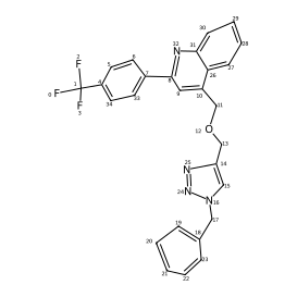 FC(F)(F)c1ccc(-c2cc(COCc3cn(Cc4ccccc4)nn3)c3ccccc3n2)cc1